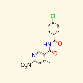 Cc1cc([N+](=O)[O-])ncc1C(=O)NC(=O)c1ccc(Cl)cc1